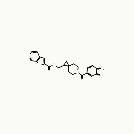 O=C(NCC1CC12CCN(C(=O)c1ccc3nonc3c1)CC2)c1cc2ccncc2o1